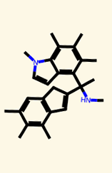 CNC(C)(C1=Cc2c(cc(C)c(C)c2C)C1)c1c(C)c(C)c(C)c2c1ccn2C